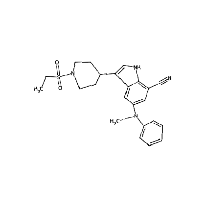 CCS(=O)(=O)N1CCC(c2c[nH]c3c(C#N)cc(N(C)c4ccccc4)cc23)CC1